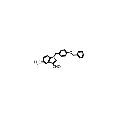 Cc1ccc2c(c1)c(C=O)cn2Cc1ccc(OCc2ccccc2)cc1